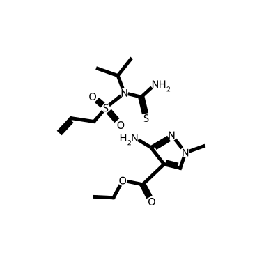 C=CCS(=O)(=O)N(C(N)=S)C(C)C.CCOC(=O)c1cn(C)nc1N